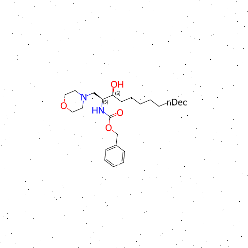 CCCCCCCCCCCCCCC[C@H](O)[C@H](CN1CCOCC1)NC(=O)OCc1ccccc1